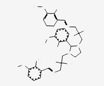 CC(C)OC1=CCCC(/C=N/CC(C)(C)CN2CCN(CC(C)(C)C/N=C/c3cccc(OC(C)C)c3O)C2c2cccc(OC(C)C)c2O)=C1O